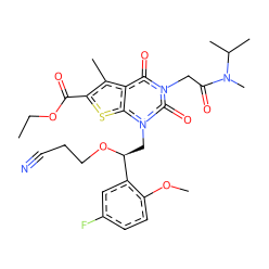 CCOC(=O)c1sc2c(c1C)c(=O)n(CC(=O)N(C)C(C)C)c(=O)n2C[C@H](OCCC#N)c1cc(F)ccc1OC